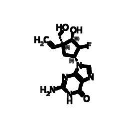 C=C[C@]1(CO)C[C@@H](n2cnc3c(=O)[nH]c(N)nc32)C(F)[C@@H]1O